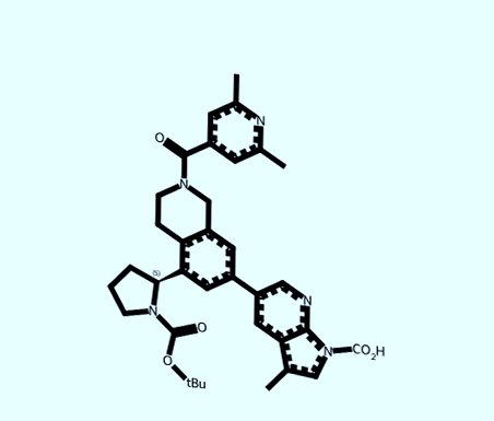 Cc1cc(C(=O)N2CCc3c(cc(-c4cnc5c(c4)c(C)cn5C(=O)O)cc3[C@@H]3CCCN3C(=O)OC(C)(C)C)C2)cc(C)n1